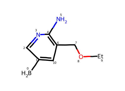 Bc1cnc(N)c(COCC)c1